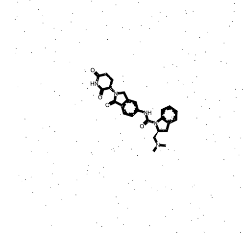 CN(C)C[C@@H]1Cc2ccccc2N1C(=O)Nc1ccc2c(c1)CN(C1CCC(=O)NC1=O)C2=O